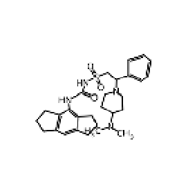 CN(C)C1CCN(C(CS(=O)(=O)NC(=O)Nc2c3c(cc4c2CCC4)CCC3)c2ccccc2)CC1